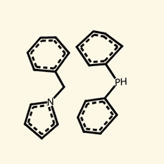 c1ccc(Cn2cccc2)cc1.c1ccc(Pc2ccccc2)cc1